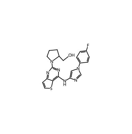 OCC1CCCN1c1nc(Nc2cn(-c3ccc(F)cc3)cn2)c2sccc2n1